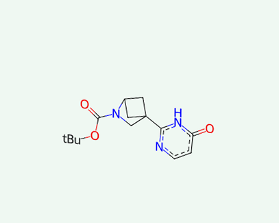 CC(C)(C)OC(=O)N1CC2(c3nccc(=O)[nH]3)CC1C2